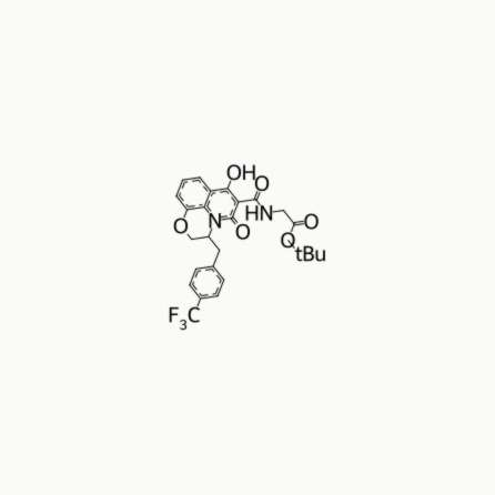 CC(C)(C)OC(=O)CNC(=O)c1c(O)c2cccc3c2n(c1=O)C(Cc1ccc(C(F)(F)F)cc1)CO3